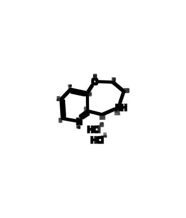 Cl.Cl.c1cnc2c(c1)OCCNC2